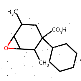 CC1CC(C(=O)O)(C2CCCCC2)C(C)C2OC12